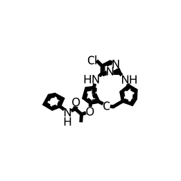 CC(Oc1ccc2cc1CCc1cccc(c1)Nc1ncc(Cl)c(n1)N2)C(=O)Nc1ccccc1